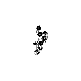 C=CC(=O)Nc1cc(Nc2cc(N3OCC[C@@H]3c3cccc(Oc4ccccc4)c3)ncn2)c(OC)cc1N1CC[C@@H](N2CCOCC2)C1